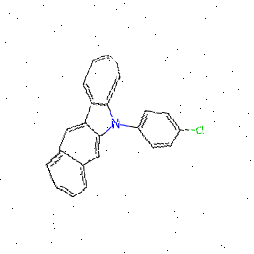 Clc1ccc(-n2c3ccccc3c3cc4ccccc4cc32)cc1